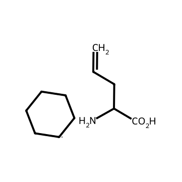 C=CCC(N)C(=O)O.[CH]1CCCCC1